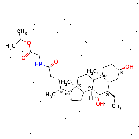 CC[C@@H]1C2C[C@H](O)CC[C@]2(C)C2CC[C@@]3(C)C(CC[C@@H]3[C@H](C)CCC(=O)NCC(=O)OC(C)C)[C@@H]2[C@@H]1O